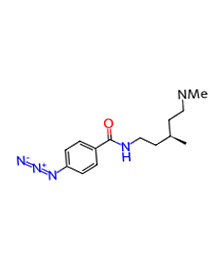 CNCC[C@@H](C)CCNC(=O)c1ccc(N=[N+]=[N-])cc1